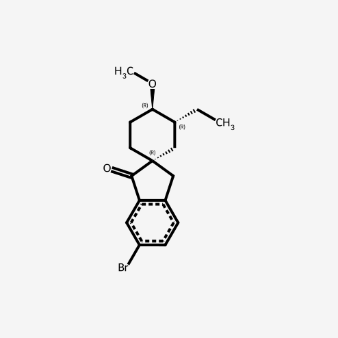 CC[C@@H]1C[C@]2(CC[C@H]1OC)Cc1ccc(Br)cc1C2=O